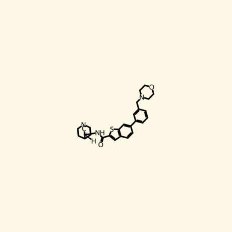 O=C(N[C@H]1CN2CCC1CC2)c1cc2ccc(-c3cccc(CN4CCOCC4)c3)cc2s1